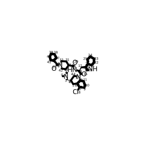 CN(C)C[C@H]1Cc2c(Cl)cccc2N(C(=O)[C@H](Cc2c[nH]c3ccccc23)NC(=O)C2CCN(C(=O)c3ccccc3)CC2)C1